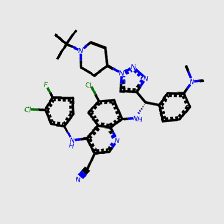 CN(C)c1cccc([C@H](Nc2cc(Cl)cc3c(Nc4ccc(F)c(Cl)c4)c(C#N)cnc23)c2cn(C3CCN(C(C)(C)C)CC3)nn2)c1